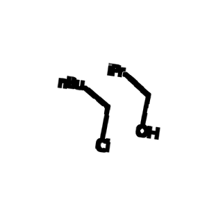 CC(C)CO.CCCCCCl